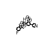 Cc1c(S(=O)(=O)Nc2ccc(-c3ccncc3)cc2CS(C)(=O)=O)sc2ccc(F)cc12